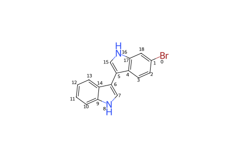 Brc1ccc2c(-c3c[nH]c4ccccc34)c[nH]c2c1